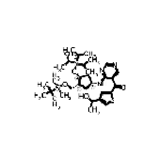 CC(O)c1csc(C(=O)c2cncnc2N[C@@H]2C[C@H](CO[Si](C)(C)C(C)(C)C)[C@@H](O[Si](C(C)C)(C(C)C)C(C)C)C2)c1